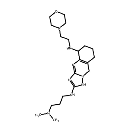 CN(C)CCCNC1=NC2=NC3=C(CCCC3NCCN3CCOCC3)CN2N1